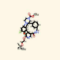 CC(C)(C)OC(=O)N1CCN2c3cc(F)c(Cl)c4c3CC2(C1)C1=CC=CC(C=C1)CNC(=O)c1cnc(OCCO[Si](C)(C)C(C)(C)C)c(F)c1-4